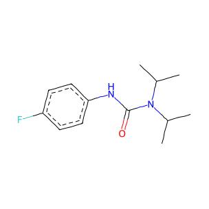 CC(C)N(C(=O)Nc1ccc(F)cc1)C(C)C